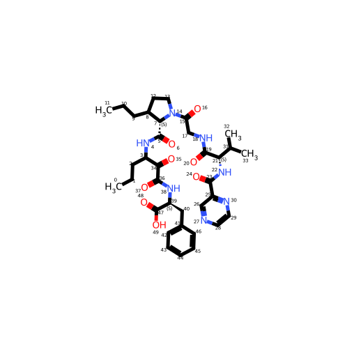 CCCC(NC(=O)[C@@H]1C(CCC)CCN1C(=O)CNC(=O)[C@@H](NC(=O)c1cnccn1)C(C)C)C(=O)C(=O)N[C@@H](Cc1ccccc1)C(=O)O